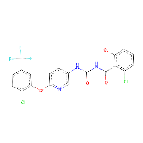 COc1cccc(Cl)c1C(=O)NC(=O)Nc1ccc(Oc2cc(C(F)(F)F)ccc2Cl)nc1